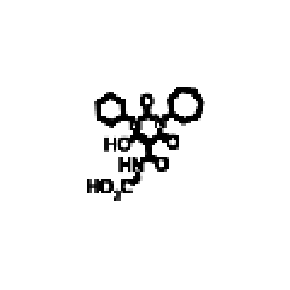 O=C(O)CNC(=O)c1c(O)n(C2CCCCC2)c(=O)n(C2CCCCCC2)c1=O